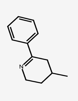 CC1CCN=C(c2ccccc2)C1